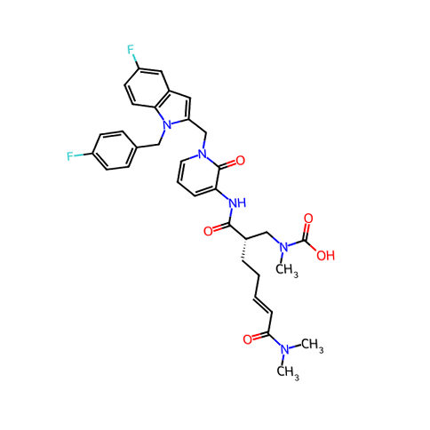 CN(C)C(=O)/C=C/CC[C@@H](CN(C)C(=O)O)C(=O)Nc1cccn(Cc2cc3cc(F)ccc3n2Cc2ccc(F)cc2)c1=O